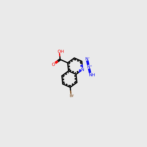 O=C(O)c1ccnc2cc(Br)ccc12.[N-]=[N+]=N